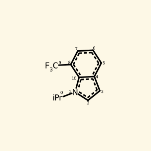 CC(C)n1ccc2cccc(C(F)(F)F)c21